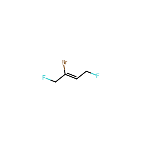 FCC=C(Br)CF